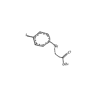 CC(C)COC(=O)CNc1ccc(I)cc1